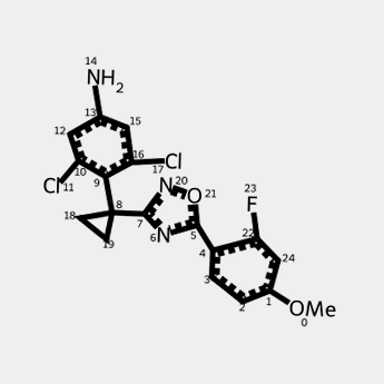 COc1ccc(-c2nc(C3(c4c(Cl)cc(N)cc4Cl)CC3)no2)c(F)c1